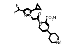 O=C(O)C1=CC(C2CCNCC2)=CCN1C(=O)Cn1nc(C(F)F)cc1C1CC1